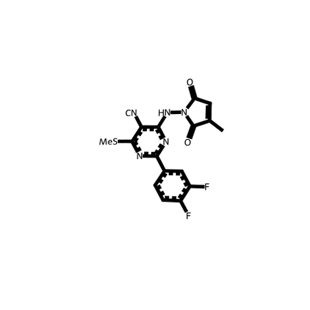 [C-]#[N+]c1c(NN2C(=O)C=C(C)C2=O)nc(-c2ccc(F)c(F)c2)nc1SC